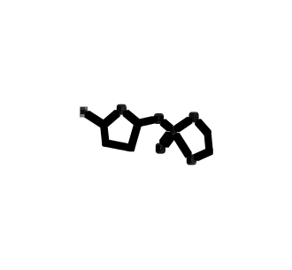 O=P1(OC2CCC(F)O2)OCCO1